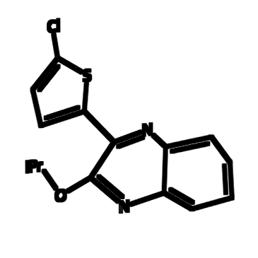 CC(C)Oc1nc2ccccc2nc1-c1ccc(Cl)s1